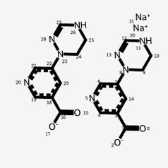 O=C([O-])c1cncc(N2CCNC=N2)c1.O=C([O-])c1cncc(N2CCNC=N2)c1.[Na+].[Na+]